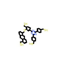 SCc1ccc(-c2nc(-c3ccc(CS)cc3)nc(-c3ccc(CS)c(SCc4cccc5cc6c(CS)cccc6cc45)c3)n2)cc1